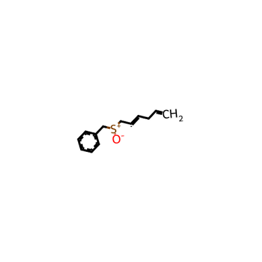 C=CC/C=[C]/C[S+]([O-])Cc1ccccc1